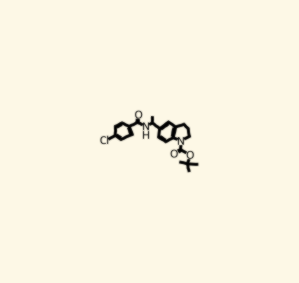 CC(NC(=O)c1ccc(Cl)cc1)c1ccc2c(c1)CCCN2C(=O)OC(C)(C)C